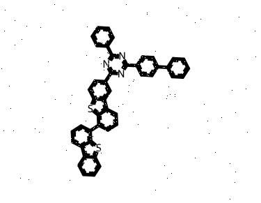 c1ccc(-c2ccc(-c3nc(-c4ccccc4)nc(-c4ccc5sc6c(-c7cccc8c7sc7ccccc78)cccc6c5c4)n3)cc2)cc1